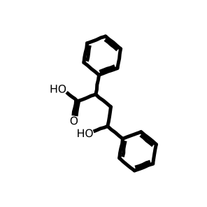 O=C(O)C(CC(O)c1ccccc1)c1ccccc1